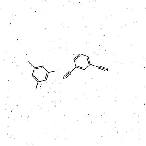 Cc1cc(C)cc(C)c1.N#Cc1cccc(C#N)c1